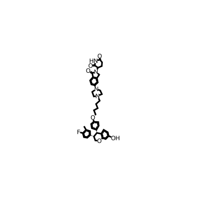 Cc1cc([C@H]2COc3cc(O)ccc3[C@H]2c2ccc(OCCCCCN3CCN(c4ccc5c(c4)CN(C4CCC(=O)NC4=O)C5=O)CC3)cc2)ccc1F